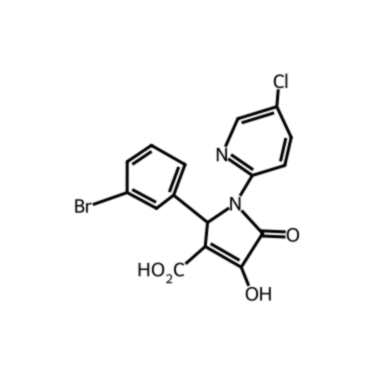 O=C(O)C1=C(O)C(=O)N(c2ccc(Cl)cn2)C1c1cccc(Br)c1